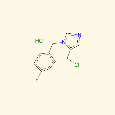 Cl.Fc1ccc(Cn2cncc2CCl)cc1